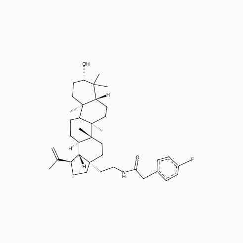 C=C(C)[C@@H]1CC[C@]2(CCNC(=O)Cc3ccc(F)cc3)CC[C@]3(C)[C@H](CCC4[C@@]5(C)CC[C@H](O)C(C)(C)[C@@H]5CC[C@]43C)[C@@H]12